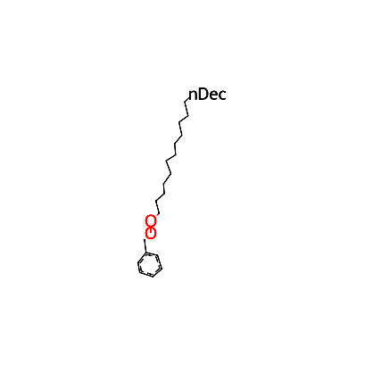 CCCCCCCCCCCCCCCCCCCCCCOOCc1ccccc1